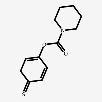 O=C(OC1=CCC(=S)C=C1)N1CCCCC1